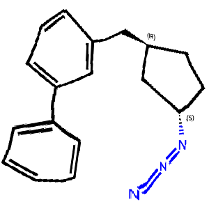 [N-]=[N+]=N[C@H]1CC[C@H](Cc2cccc(-c3ccccc3)c2)C1